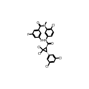 CN(C(=O)c1cc(F)cc(F)c1)c1cc(NC(=O)[C@H]2[C@H](c3cc(Cl)cc(Cl)c3)C2(Cl)Cl)ccc1Cl